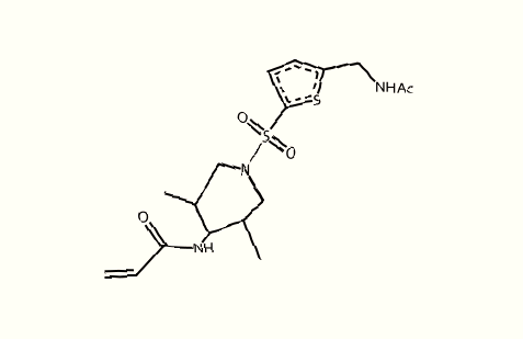 C=CC(=O)NC1C(C)CN(S(=O)(=O)c2ccc(CNC(C)=O)s2)CC1C